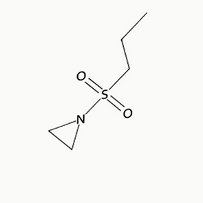 CCCS(=O)(=O)N1CC1